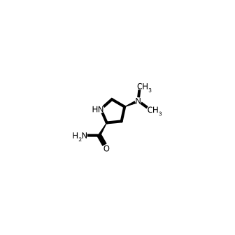 CN(C)[C@@H]1CN[C@H](C(N)=O)C1